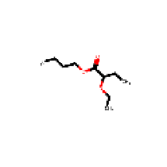 CCCCOC(=O)C(CC)OCC